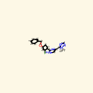 CC(C)n1ncnc1-c1c[nH]c(-c2ccc(OCc3ccccc3)cc2F)n1